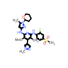 COc1c(Nc2cc(C)n(C3CCCCO3)n2)nc(Nc2ccc(S(C)(=O)=O)cc2F)c(C)c1-c1cnn(C)c1